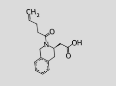 C=CCCC(=O)N1Cc2ccccc2C[C@@H]1CC(=O)O